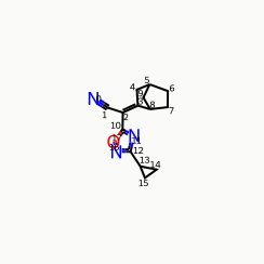 N#CC(=C1CC2CCC1C2)c1nc(C2CC2)no1